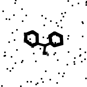 NN(c1ccccc1)c1ccnnn1